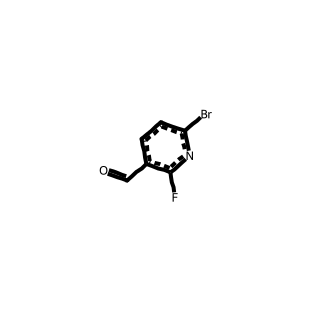 O=Cc1ccc(Br)nc1F